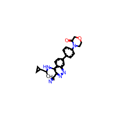 CC(Nc1c(C#N)nnc2cc(-c3ccc(N4CCOCC4=O)cc3)ccc12)C1CC1